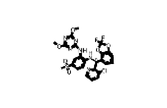 COc1nc(Nc2cc(S(C)(=O)=O)ccc2N[C@@H](c2cccc3c2OC(F)(F)O3)c2ncccc2Cl)nc(OC)n1